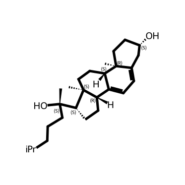 CC(C)CCC[C@](C)(O)[C@H]1CC[C@H]2C3=CC=C4C[C@@H](O)CC[C@]4(C)[C@H]3CC[C@@]21C